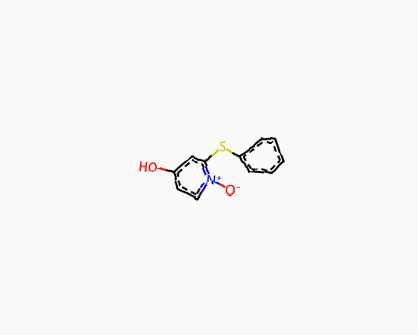 [O-][n+]1ccc(O)cc1Sc1ccccc1